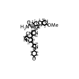 COc1ccc(CN2CC(C)(OC(N)=O)[C@H]3[C@@H]2CN3c2ccc(-c3cc(-c4cnn(C5CCC(=O)CC5)c4)cn4ncc(C#N)c34)cn2)cn1